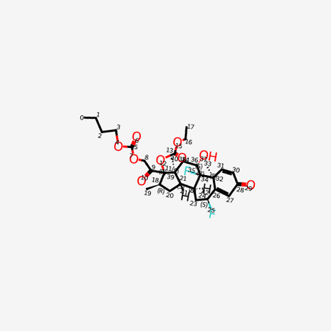 CCCCOC(=O)OCC(=O)[C@@]1(OC(=O)OCC)[C@H](C)C[C@H]2[C@@H]3C[C@H](F)C4=CC(=O)C=C[C@]4(C)[C@@]3(F)[C@@H](O)C[C@@]21C